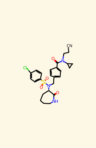 N#CCCN(C(=O)c1ccc(CN([C@@H]2CCCCNC2=O)S(=O)(=O)c2ccc(Cl)cc2)cc1)C1CC1